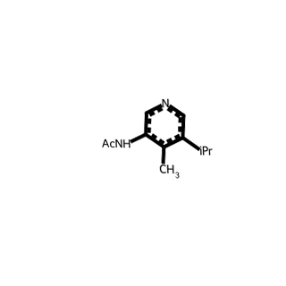 CC(=O)Nc1cncc(C(C)C)c1C